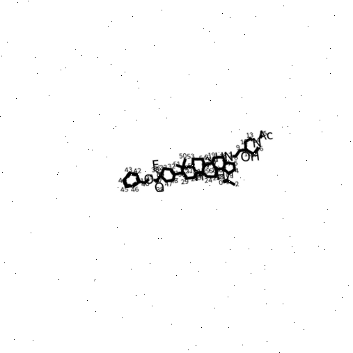 C=C(C)[C@@H]1CC[C@]2(NCCC3(O)CCN(C(C)=O)CC3)CC[C@]3(C)[C@H](CC[C@@H]4[C@@]5(C)CC=C(C6=CC[C@](CF)(C(=O)OCc7ccccc7)CC6)C(C)(C)C5CC[C@]43C)C12